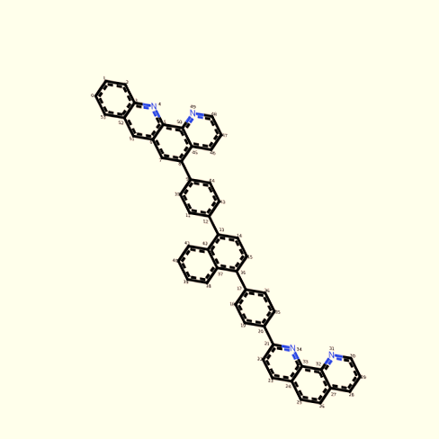 c1ccc2nc3c(cc(-c4ccc(-c5ccc(-c6ccc(-c7ccc8ccc9cccnc9c8n7)cc6)c6ccccc56)cc4)c4cccnc43)cc2c1